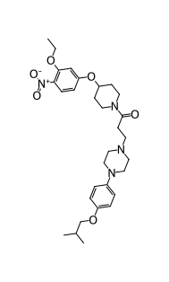 CCOc1cc(OC2CCN(C(=O)CCN3CCN(c4ccc(OCC(C)C)cc4)CC3)CC2)ccc1[N+](=O)[O-]